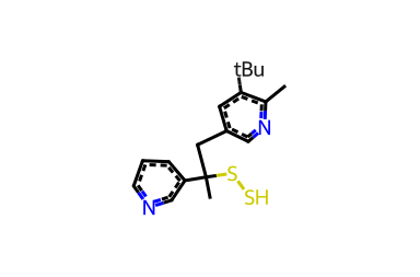 Cc1ncc(CC(C)(SS)c2cccnc2)cc1C(C)(C)C